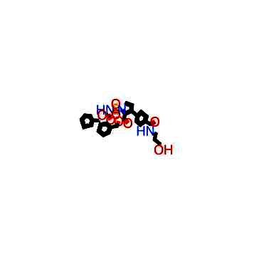 O=C(NS(=O)(=O)n1ccc(-c2ccc(C(=O)NCCCO)cc2)c1C(=O)OCc1ccccc1)OCc1ccccc1